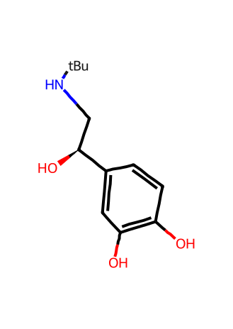 CC(C)(C)NC[C@H](O)c1ccc(O)c(O)c1